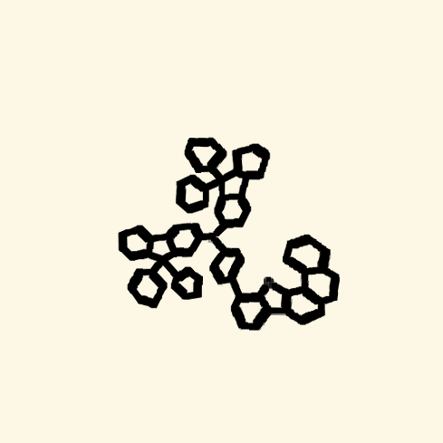 c1ccc(C2(c3ccccc3)c3ccccc3-c3ccc(N(c4ccc(-c5cccc6c5oc5c6ccc6ccc7ccccc7c65)cc4)c4ccc5c(c4)C(c4ccccc4)(c4ccccc4)c4ccccc4-5)cc32)cc1